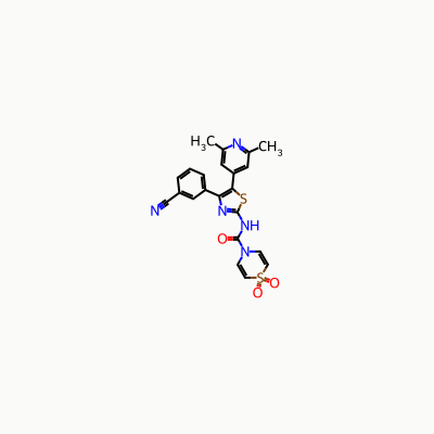 Cc1cc(-c2sc(NC(=O)N3C=CS(=O)(=O)C=C3)nc2-c2cccc(C#N)c2)cc(C)n1